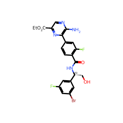 CCOC(=O)c1cnc(N)c(-c2ccc(C(=O)N[C@H](CO)c3cc(F)cc(Br)c3)c(F)c2)n1